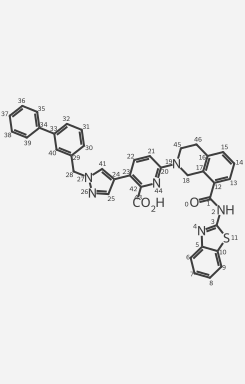 O=C(Nc1nc2ccccc2s1)c1cccc2c1CN(c1ccc(-c3cnn(Cc4cccc(-c5ccccc5)c4)c3)c(C(=O)O)n1)CC2